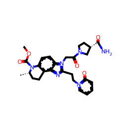 COC(=O)N1c2ccc3c(nc(CCn4ccccc4=O)n3CC(=O)N3CC[C@H](C(N)=O)C3)c2CC[C@@H]1C